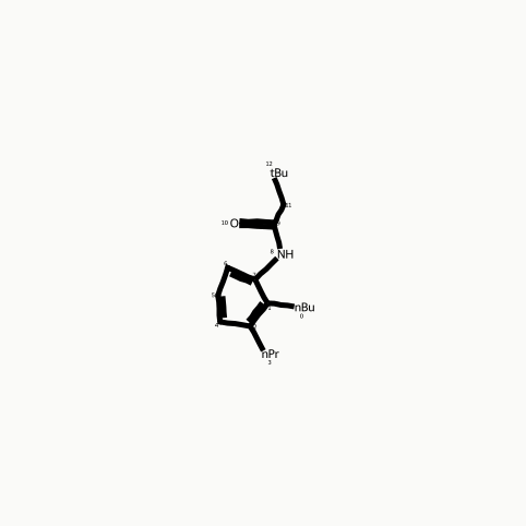 CCCCc1c(CCC)cccc1NC(=O)CC(C)(C)C